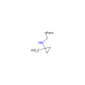 CCCCCCNC1(C(=O)O)CC1